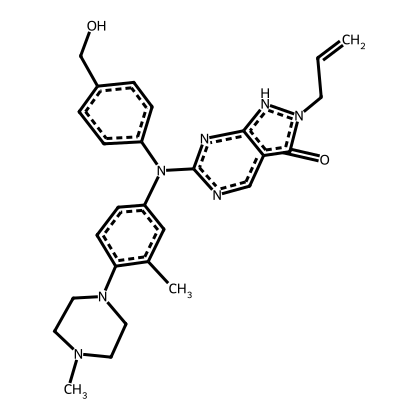 C=CCn1[nH]c2nc(N(c3ccc(CO)cc3)c3ccc(N4CCN(C)CC4)c(C)c3)ncc2c1=O